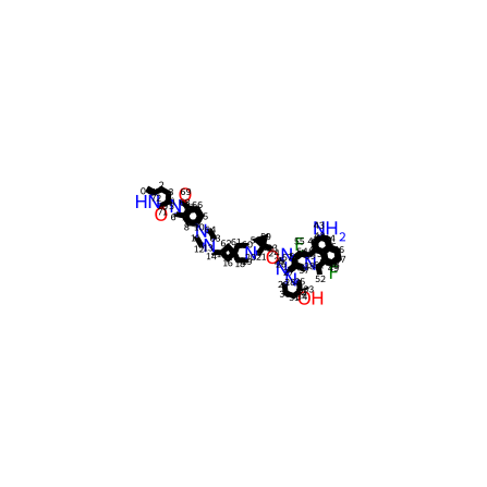 C=C1CC[C@H](N2Cc3cc(N4CCN(CC5CC6(CCN(CC7(COc8nc(N9CCC[C@@](C)(O)C9)c9cnc(-c%10cc(N)cc%11ccc(F)c(CC)c%10%11)c(F)c9n8)CC7)CC6)C5)CC4)ccc3C2=O)C(=O)N1